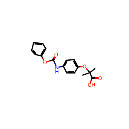 CC(C)(Oc1ccc(NC(=O)Oc2ccccc2)cc1)C(=O)O